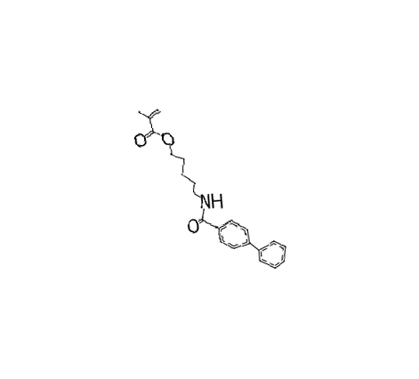 C=C(C)C(=O)OCCCCCNC(=O)c1ccc(-c2ccccc2)cc1